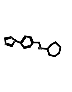 c1ncn(-c2ccc(CNC3CCCCCC3)cc2)n1